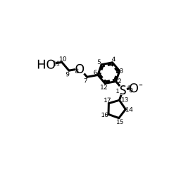 [O-][S+](c1cccc(COCCO)c1)C1CCCC1